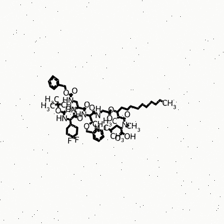 CCCCCCCCCCC(OC(=O)CNC(=O)C(NC(=O)C(CNC(=O)OCc1ccccc1)NC(=O)C(NC(=O)OC(C)(C)C)C1CCC(F)(F)CC1)C(C)OCc1ccccc1)C(C)C(=O)N(C)C(CC(C)C)C(=O)O